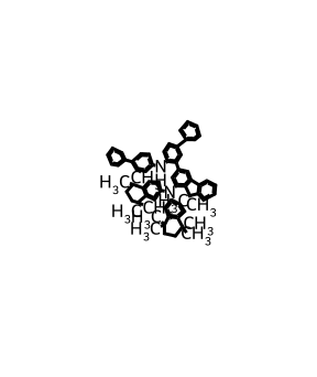 CC1(C)CCC(C)(C)c2cc(N(c3ccc4c(c3)C(C)(C)CCC4(C)C)c3cc(-c4cc(-c5ccccc5)ccc4Nc4ccc(-c5ccccc5)cc4)cc4c3C(C)(C)c3ccccc3-4)ccc21